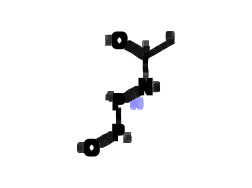 CC(=O)/N=P/P=O